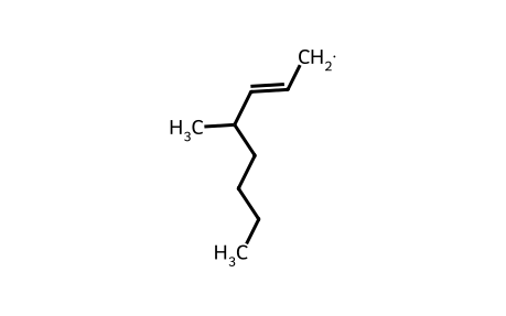 [CH2]C=CC(C)CCCC